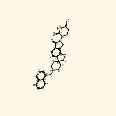 O=C1CCC(N2Cc3c(ccc4c3OCC43CCN(Cc4cncc5ccccc45)CC3)C2=O)C(=O)N1